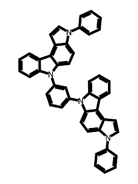 c1ccc(-n2ccc3c4c5ccccc5n(-c5cccc(-n6c7ccccc7c7c8ccn(-c9ccccc9)c8ccc76)c5)c4ccc32)cc1